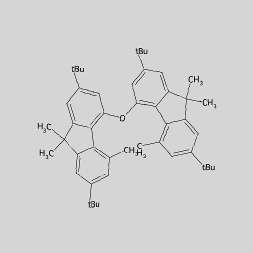 Cc1cc(C(C)(C)C)cc2c1-c1c(Oc3cc(C(C)(C)C)cc4c3-c3c(C)cc(C(C)(C)C)cc3C4(C)C)cc(C(C)(C)C)cc1C2(C)C